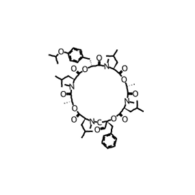 CC(C)C[C@H]1C(=O)O[C@H](C)C(=O)N(C)[C@@H](CC(C)C)C(=O)O[C@H](Cc2ccc(OC(C)C)cc2)C(=O)N(C)[C@@H](CC(C)C)C(=O)O[C@H](C)C(=O)N(C)[C@@H](CC(C)C)C(=O)O[C@@](C=O)(Cc2ccccc2)CN1C